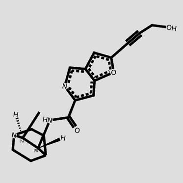 C[C@H]1[C@H](NC(=O)c2cc3oc(C#CCO)cc3cn2)C2CCN1CC2